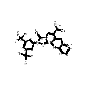 NC(=O)/C(=C/n1cnn(-c2cc(C(F)(F)F)cc(C(F)(F)F)c2)c1=O)c1cnc2cccnc2c1